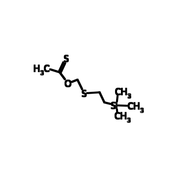 CC(=S)OCSCC[Si](C)(C)C